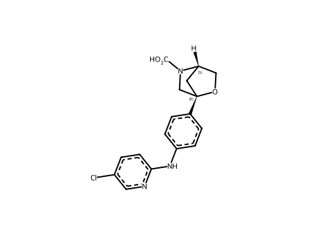 O=C(O)N1C[C@]2(c3ccc(Nc4ccc(Cl)cn4)cc3)C[C@H]1CO2